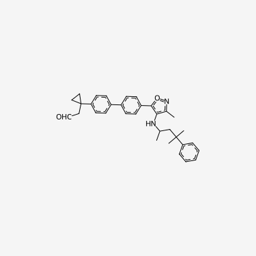 Cc1noc(-c2ccc(-c3ccc(C4(CC=O)CC4)cc3)cc2)c1NC(C)CC(C)(C)c1ccccc1